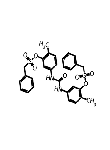 Cc1ccc(NC(=O)Nc2ccc(C)c(OS(=O)(=O)Cc3ccccc3)c2)cc1OS(=O)(=O)Cc1ccccc1